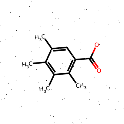 Cc1cc(C([O])=O)c(C)c(C)c1C